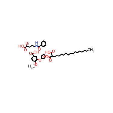 CCCCCCCCCCCCCCCCC(C(=O)O)C(=O)O.COc1ccc(C(=O)O)cc1OC1CCCC1.O=C(NCCCC(Br)C(=O)O)c1ccccc1